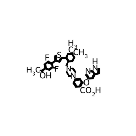 C[C@@H](O)c1cc(F)c(-c2csc(C3=C(CN4CCN(c5ccc(C(=O)O)c(Oc6cnc7[nH]ccc7c6)c5)CC4)CCC(C)(C)C3)c2)c(F)c1